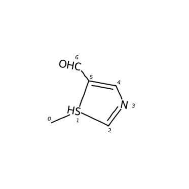 C[SH]1C=NC=C1C=O